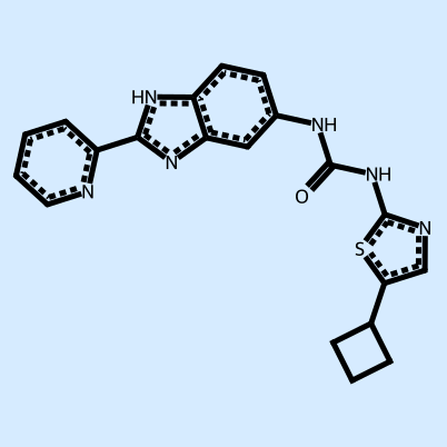 O=C(Nc1ccc2[nH]c(-c3ccccn3)nc2c1)Nc1ncc(C2CCC2)s1